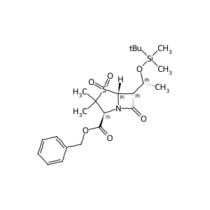 C[C@@H](O[Si](C)(C)C(C)(C)C)[C@@H]1C(=O)N2[C@@H](C(=O)OCc3ccccc3)C(C)(C)S(=O)(=O)[C@H]12